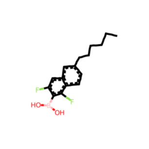 CCCCCCc1ccc2c(F)c(B(O)O)c(F)cc2c1